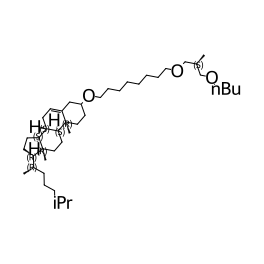 CCCCOC[C@H](C)COCCCCCCCCOC1CC[C@@]2(C)C(=CC[C@H]3[C@@H]4CC[C@H]([C@H](C)CCCC(C)C)[C@@]4(C)CC[C@@H]32)C1